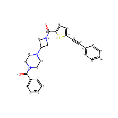 O=C(c1ccccc1)N1CCN(C2CN(C(=O)c3ccc(C#Cc4ccccc4)s3)C2)CC1